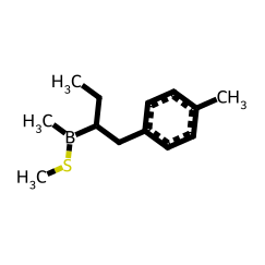 CCC(Cc1ccc(C)cc1)B(C)SC